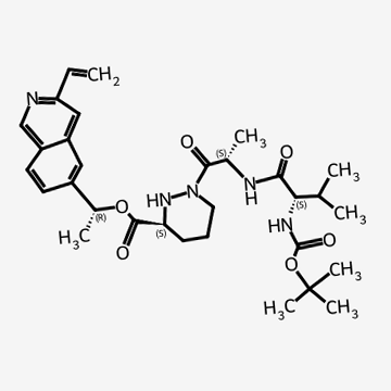 C=Cc1cc2cc([C@@H](C)OC(=O)[C@@H]3CCCN(C(=O)[C@H](C)NC(=O)[C@@H](NC(=O)OC(C)(C)C)C(C)C)N3)ccc2cn1